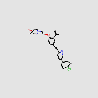 C=C(C)c1cc(C#Cc2ccc(-c3ccc(Cl)cc3)cn2)ccc1OCCN1CCC(C)(O)CC1